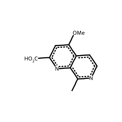 COc1cc(C(=O)O)nc2c(C)nccc12